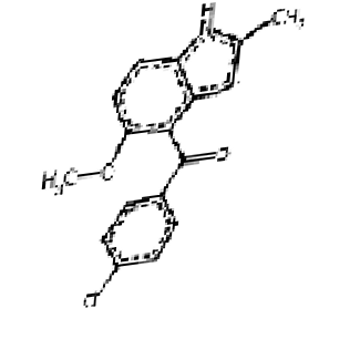 COc1ccc2[nH]c(C)[c]c2c1C(=O)c1ccc(Cl)cc1